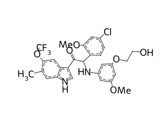 COc1cc(NC(C(=O)c2c[nH]c3cc(C)c(OC(F)(F)F)cc23)c2ccc(Cl)cc2OC)cc(OCCO)c1